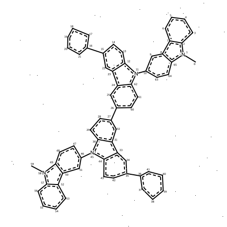 Cn1c2ccccc2c2cc(-n3c4ccc(-c5ccccc5)cc4c4cc(-c5ccc6c(c5)c5cc(-c7ccccc7)ccc5n6-c5ccc6c(c5)c5ccccc5n6C)ccc43)ccc21